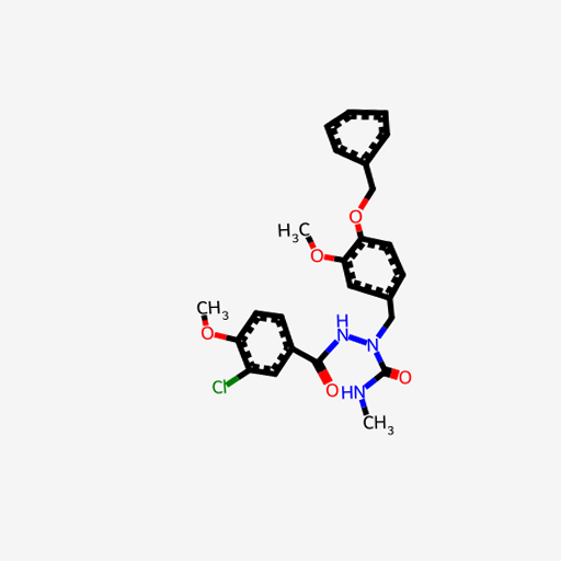 CNC(=O)N(Cc1ccc(OCc2ccccc2)c(OC)c1)NC(=O)c1ccc(OC)c(Cl)c1